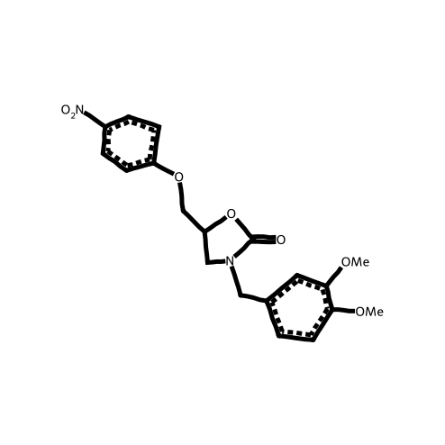 COc1ccc(CN2CC(COc3ccc([N+](=O)[O-])cc3)OC2=O)cc1OC